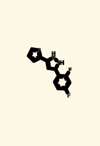 Fc1ccc(C2C=C(c3cccs3)NN2)c(F)c1